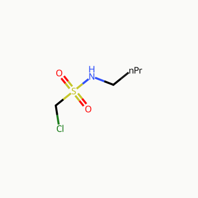 CCCCNS(=O)(=O)CCl